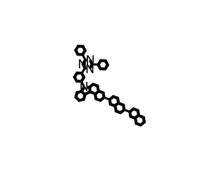 c1ccc(-c2nc(-c3ccccc3)nc(-c3cccc(-n4c5ccccc5c5c6ccc(-c7ccc8cc(-c9ccc%10ccccc%10c9)ccc8c7)cc6ccc54)c3)n2)cc1